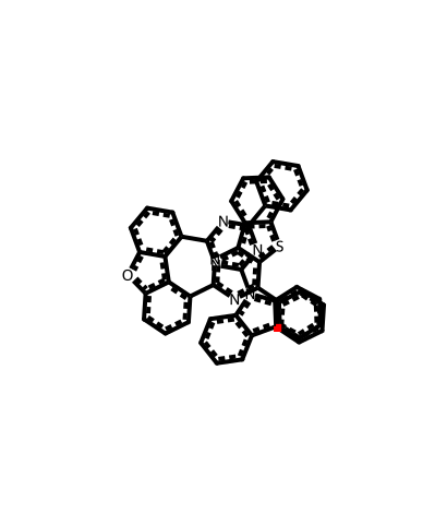 c1ccc(-c2nc(-c3cccc4oc5cccc(-c6nc(-c7ccccc7)c7sc8ccccc8c7n6)c5c34)nc(-n3c4ccccc4c4ccccc43)n2)cc1